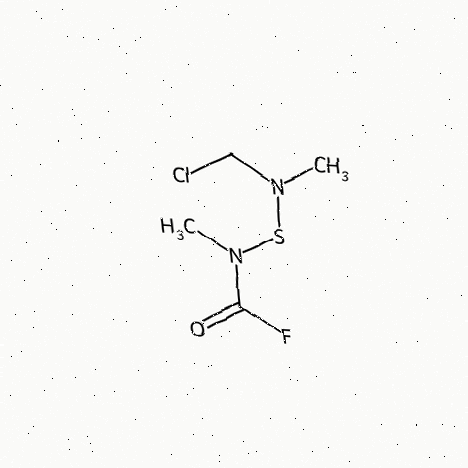 CN(CCl)SN(C)C(=O)F